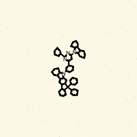 c1ccc(-c2nc(-c3cccc(-n4c5ccccc5c5cc6c(cc54)C(c4ccccc4)(c4ccccc4)c4ccccc4-6)c3)cc(-n3c4ccccc4c4ccccc43)n2)cc1